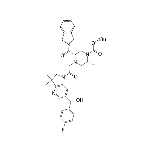 C[C@@H]1CN(CC(=O)N2CC(C)(C)c3ncc([C@H](O)c4ccc(F)cc4)cc32)[C@H](C(=O)N2Cc3ccccc3C2)CN1C(=O)OC(C)(C)C